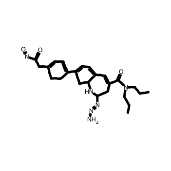 CCCN(CCC)C(=O)C1=CC2=CC=C(C3=CC=C(CC(=O)N=O)CC3)CC2NC(N=NN)C1